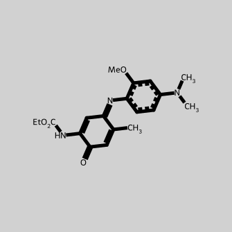 CCOC(=O)NC1=CC(=Nc2ccc(N(C)C)cc2OC)C(C)=CC1=O